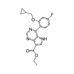 CCOC(=O)c1c[nH]c2c(-c3ccc(F)cc3OCC3CC3)ncnc12